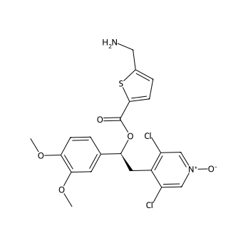 COc1ccc([C@H](Cc2c(Cl)c[n+]([O-])cc2Cl)OC(=O)c2ccc(CN)s2)cc1OC